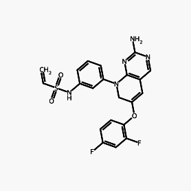 C=CS(=O)(=O)Nc1cccc(N2CC(Oc3ccc(F)cc3F)=Cc3cnc(N)nc32)c1